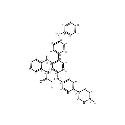 C=CC(=O)Nc1ccccc1Nc1nc(Nc2ccc(N3CCN(C)CC3)cc2)ncc1-c1ccc(Oc2ccccc2)cc1